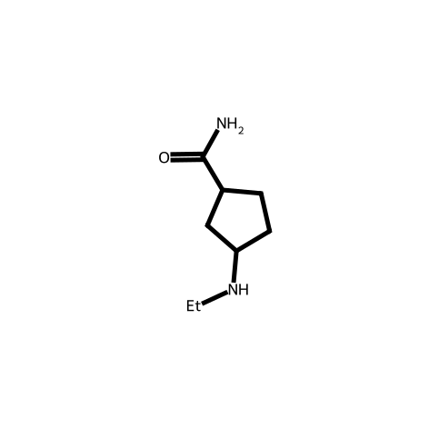 CCNC1CCC(C(N)=O)C1